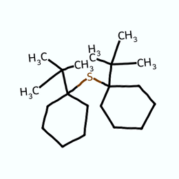 CC(C)(C)C1(SC2(C(C)(C)C)CCCCC2)CCCCC1